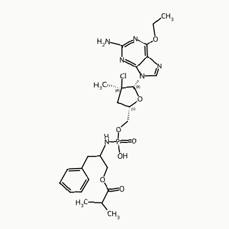 CCOc1nc(N)nc2c1ncn2[C@@H]1O[C@H](COP(=O)(O)NC(COC(=O)C(C)C)Cc2ccccc2)C[C@@]1(C)Cl